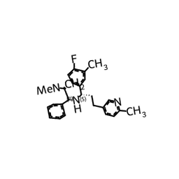 C=C(NC)[C@H](N[C@@H](CCc1ccc(C)nc1)c1ccc(F)c(C)c1)c1ccccc1